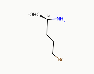 N[C@H]([C]=O)CCCBr